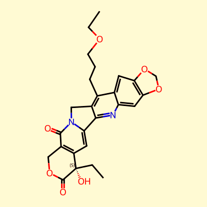 CCOCCCc1c2c(nc3cc4c(cc13)OCO4)-c1cc3c(c(=O)n1C2)COC(=O)[C@]3(O)CC